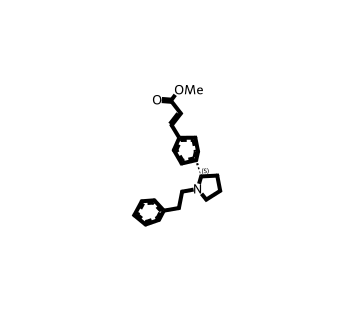 COC(=O)C=Cc1ccc([C@@H]2CCCN2CCc2ccccc2)cc1